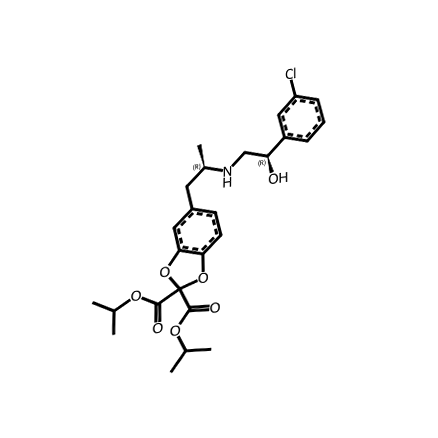 CC(C)OC(=O)C1(C(=O)OC(C)C)Oc2ccc(C[C@@H](C)NC[C@H](O)c3cccc(Cl)c3)cc2O1